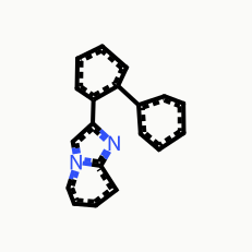 c1ccc(-c2ccccc2-c2cn3ccccc3n2)cc1